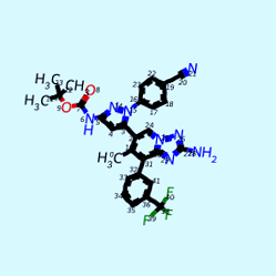 Cc1c(-c2cc(NC(=O)OC(C)(C)C)nn2-c2ccc(C#N)cc2)cn2nc(N)nc2c1-c1cccc(C(F)(F)F)c1